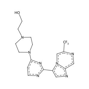 OCCN1CCN(c2ccnc(-c3cnc4cnc(C(F)(F)F)cn34)n2)CC1